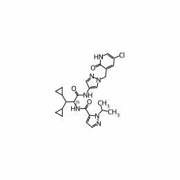 CC(C)n1nccc1C(=O)N[C@H](C(=O)Nc1cnn(Cc2cc(Cl)c[nH]c2=O)c1)C(C1CC1)C1CC1